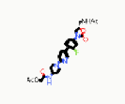 CC(=O)NC[C@H]1CN(c2ccc(-c3ccc(N4CCC(NC(=O)COC(C)=O)CC4)nc3)c(F)c2)C(=O)O1